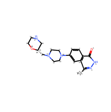 Cc1n[nH]c(=O)c2ccc(N3CCN(C[C@H]4CNCCO4)CC3)cc12